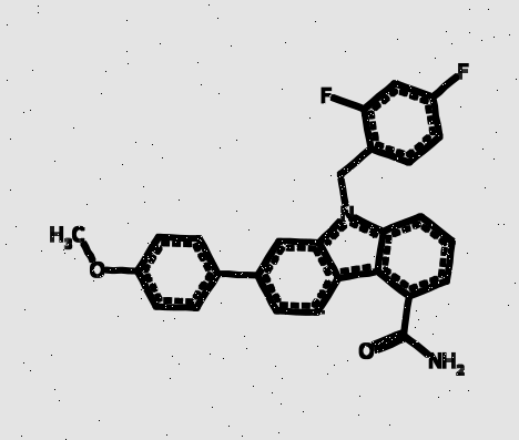 COc1ccc(-c2c[c]c3c4c(C(N)=O)cccc4n(Cc4ccc(F)cc4F)c3c2)cc1